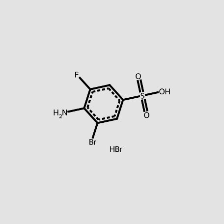 Br.Nc1c(F)cc(S(=O)(=O)O)cc1Br